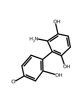 Nc1c(O)ccc(O)c1-c1ccc(Cl)cc1O